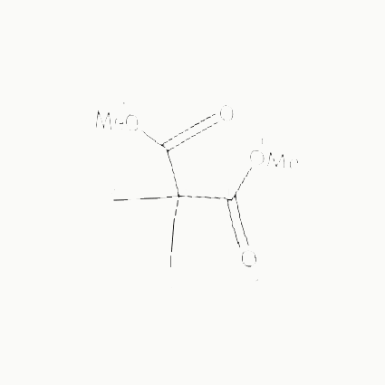 COC(=O)C(C)(I)C(=O)OC